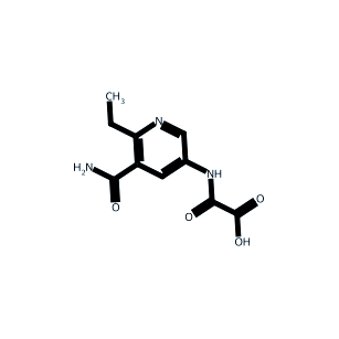 CCc1ncc(NC(=O)C(=O)O)cc1C(N)=O